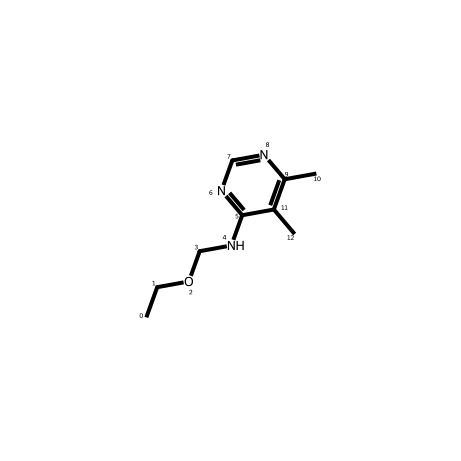 CCOCNc1ncnc(C)c1C